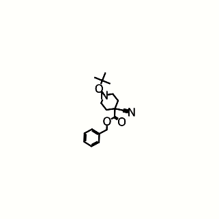 CC(C)(C)ON1CCC(C#N)(C(=O)OCc2ccccc2)CC1